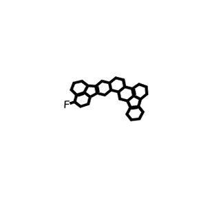 FC1CCC2C3=C(CC4CCC5C6=C7C(CCC6)C6=C(CCCC6)C7CC5C4C3)C3CCCC1=C32